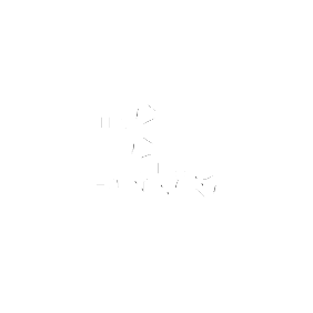 Cc1ccccc1-c1ccc([C@H]2[C@@H](CO)N3CCCCN(C(=O)Cc4ccccn4)C[C@@H]23)cc1